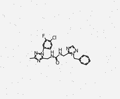 Cc1nc(CNC(=O)NCc2ncnn2Cc2ccccc2)n(-c2ccc(Cl)c(F)c2)n1